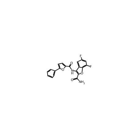 NC(=O)c1oc2c(F)cc(F)cc2c1NC(=O)c1ccc(-c2ccccc2)o1